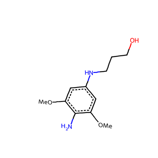 COc1cc(NCCCO)cc(OC)c1N